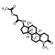 CC(=O)OCC(=O)NC1CC[C@H]2[C@@H]3CCC4N(C)C(=O)CC[C@]4(C)[C@@H]3CC[C@]12C